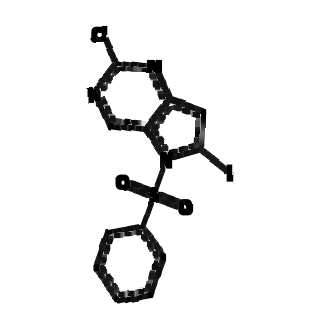 O=S(=O)(c1ccccc1)n1c(I)cc2nc(Cl)ncc21